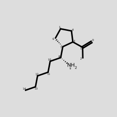 C=C(C)C1CCC[C@H]1[C@H](N)CCCCC